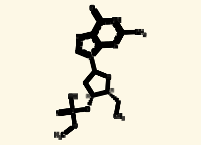 CC[C@H]1OC(n2cnc3c(=O)[nH]c(N)nc32)C[C@H]1OP(O)(=S)OC